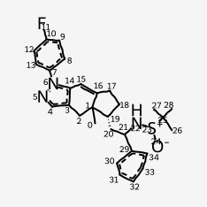 CC12Cc3cnn(-c4ccc(F)cc4)c3C=C1CC[C@@H]2CC(N[S+]([O-])C(C)(C)C)c1ccccc1